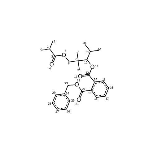 CC(C)C(=O)OCC(C)(C)C(OC(=O)c1ccccc1C(=O)OCc1ccccc1)C(C)C